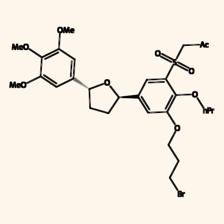 CCCOc1c(OCCCBr)cc([C@H]2CC[C@H](c3cc(OC)c(OC)c(OC)c3)O2)cc1S(=O)(=O)CC(C)=O